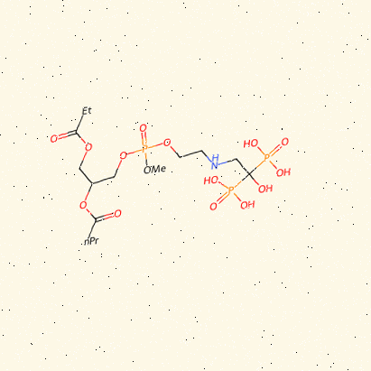 CCCC(=O)OC(COC(=O)CC)COP(=O)(OC)OCCNCC(O)(P(=O)(O)O)P(=O)(O)O